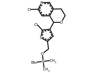 CC(C)(C)[Si](C)(C)OCc1cc(C2OCCc3cnc(Cl)cc32)c(Cl)s1